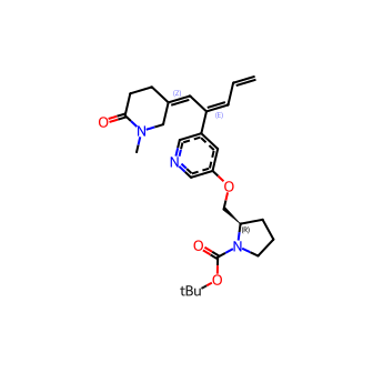 C=C/C=C(\C=C1\CCC(=O)N(C)C1)c1cncc(OC[C@H]2CCCN2C(=O)OC(C)(C)C)c1